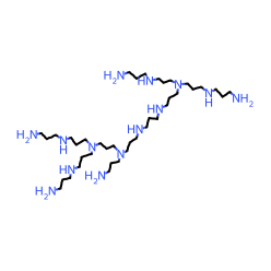 NCCCNCCCN(CCCNCCCN)CCCNCCCNCCCN(CCCN)CCCN(CCCNCCCN)CCCNCCCN